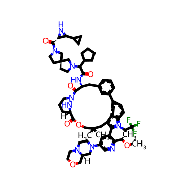 CO[C@@H](C)c1ncc(N2CCN3CCOC[C@@H]3C2)cc1-c1c2c3cc(ccc3n1CC(F)(F)F)-c1cccc(c1)C[C@H](NC(=O)C(C1CCCC1)N1CC[C@]3(CCN(C(=O)[C@@H]4NC4C4CC4)C3)C1)C(=O)N1CCC[C@H](N1)C(=O)OCC(C)(C)C2